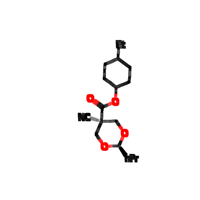 CCC[C@H]1OC[C@@](C#N)(C(=O)OC2CCC(CC)CC2)CO1